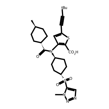 Cn1nncc1S(=O)(=O)[C@H]1CC[C@H](N(c2cc(C#CC(C)(C)C)sc2C(=O)O)C(=O)[C@H]2CC[C@H](C)CC2)CC1